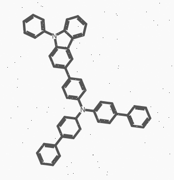 C1=CC(N(c2ccc(-c3ccccc3)cc2)c2ccc(-c3ccc4c(c3)c3ccccc3n4-c3ccccc3)cc2)CC=C1c1ccccc1